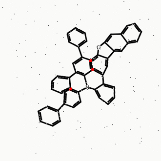 c1ccc(-c2ccc(N(c3ccccc3-c3ccc4oc5cc6ccccc6cc5c4c3)c3ccc(-c4ccccc4)cc3-c3ccccc3)cc2)cc1